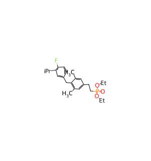 CCOP(=O)(CCc1cc(C)c(Cc2ccc(F)c(C(C)C)c2)c(C)c1)OCC